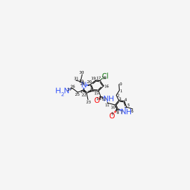 CCCc1cc(C)[nH]c(=O)c1CNC(=O)c1cc(Cl)cc2c1c(C)c(CCN)n2C(C)C